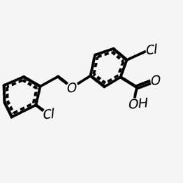 O=C(O)c1cc(OCc2ccccc2Cl)ccc1Cl